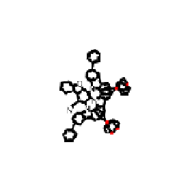 N#Cc1c(-n2c3ccc(-c4ccccc4)cc3c3cc(-c4ccccc4)ccc32)c(-n2c3ccc(-c4ccccc4)cc3c3cc(-c4ccccc4)ccc32)c(-n2c3ccc(-c4ccccc4)cc3c3cc(-c4ccccc4)ccc32)c2oc3ccccc3c12